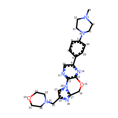 CN1CCN(c2ccc(-c3cnc4c(n3)OCc3nc(CN5CCOCC5)cn3-4)cc2)CC1